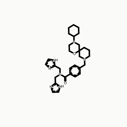 O=C(c1ccc(CN2CCCC3(C2)CN(C2CCCCC2)CCO3)cc1)N(Cc1ncc[nH]1)Cc1ncc[nH]1